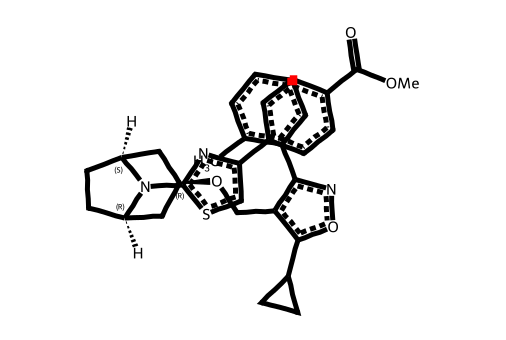 COC(=O)c1ccc(-c2csc(N3[C@@H]4CC[C@H]3C[C@@H](OCc3c(-c5ccccc5C)noc3C3CC3)C4)n2)cc1